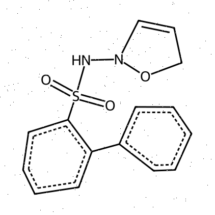 O=S(=O)(NN1C=CCO1)c1ccccc1-c1ccccc1